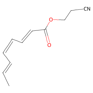 CC=C/C=C\C=C\C(=O)OCCC#N